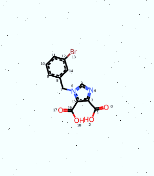 O=C(O)c1ncn(Cc2cccc(Br)c2)c1C(=O)O